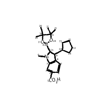 CN1c2cc(C(=O)O)ccc2C(C2CCCC2)C1B1OC(C)(C)C(C)(C)O1